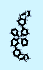 c1ccc([Si](c2ccccc2)(c2cccc(-c3ccc4nc5n(c4c3)CCO5)c2)c2cccc(-c3ccc4nc5occn5c4c3)c2)cc1